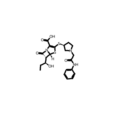 CC[C@H](O)[C@@H]1C(=O)N2C(C(=O)O)=C(S[C@H]3CCN(CC(=O)Nc4ccccc4)C3)S[C@H]12